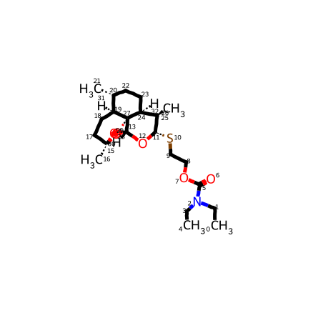 CCN(CC)C(=O)OCCS[C@@H]1O[C@@H]2O[C@]3(C)CC[C@H]4[C@H](C)CC[C@@H]([C@H]1C)[C@@]24OO3